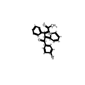 CC(=O)c1c(-c2ccccc2)c(C(=O)c2ccc(Br)cc2)c2ccccn12